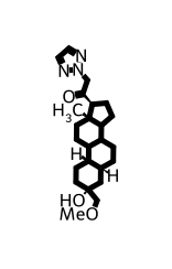 COC[C@@]1(O)CC[C@@H]2C3CC[C@@]4(C)C(CC[C@@H]4C(=O)Cn4nccn4)C3CC[C@H]2C1